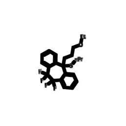 CCCSC1(CCCOCC)c2ccccc2C(F)(F)C(F)(F)c2ccccc21